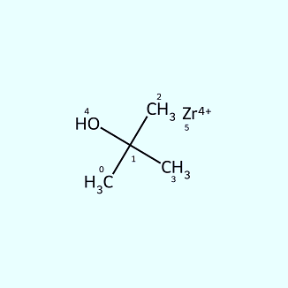 CC(C)(C)O.[Zr+4]